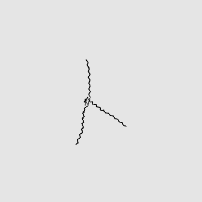 CCCCCCCCCCCCCCCCCC1N(CCCCCCCCCCCCCC)C=CN1CCCCCCCCCCCCCCCC